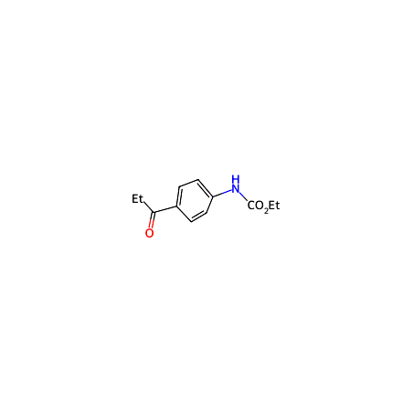 CCOC(=O)Nc1ccc(C(=O)CC)cc1